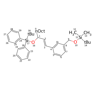 CCCCCCCCC(/C=C/c1cccc(CO[Si](C)(C)C(C)(C)C)c1)O[Si](c1ccccc1)(c1ccccc1)C(C)(C)C